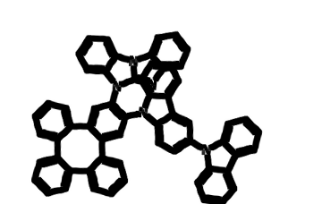 c1ccc2c(c1)-c1ccccc1-c1cc(-n3c4ccccc4c4cc(-n5c6ccccc6c6ccccc65)ccc43)c(-n3c4ccccc4n4c5ccccc5nc34)cc1-c1ccccc1-2